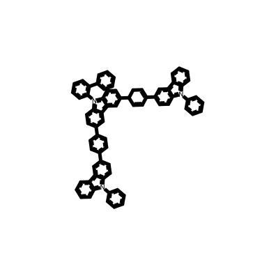 C1=CC(c2ccc3c(c2)c2cc(-c4ccc(-c5ccc6c(c5)c5ccccc5n6-c5ccccc5)cc4)ccc2n3-c2ccccc2-c2ccccc2)CC=C1c1ccc2c(c1)c1ccccc1n2-c1ccccc1